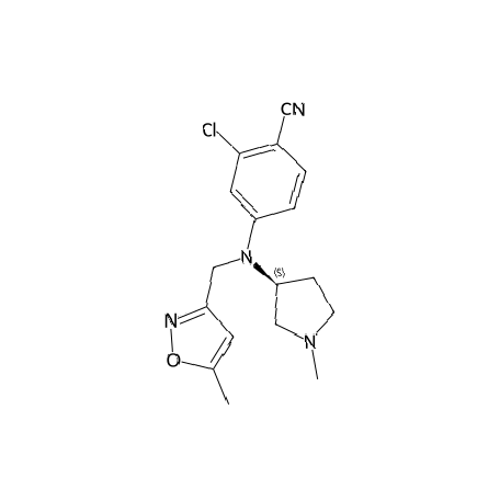 Cc1cc(CN(c2ccc(C#N)c(Cl)c2)[C@H]2CCN(C)C2)no1